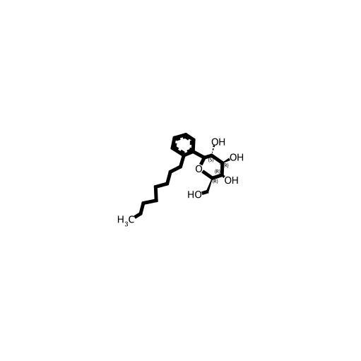 CCCCCCCCc1ccccc1[C]1O[C@H](CO)[C@H](O)[C@H](O)[C@H]1O